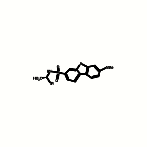 CNc1ccc2c(c1)sc1cc(S(=O)(=O)N[C@H](C(=O)O)C(C)C)ccc12